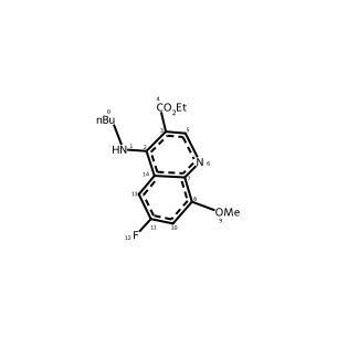 CCCCNc1c(C(=O)OCC)cnc2c(OC)cc(F)cc12